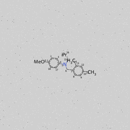 COc1ccc(N(Cc2ccc(C)cc2C)CC(C)C)cc1